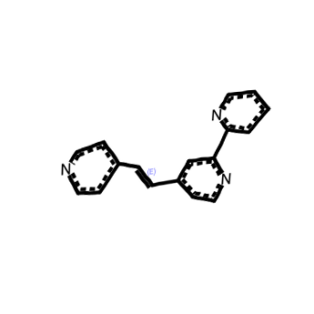 C(=C\c1ccnc(-c2ccccn2)c1)/c1ccncc1